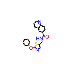 O=C(NCc1cnc(Oc2ccccc2)s1)c1ccc2ncccc2c1